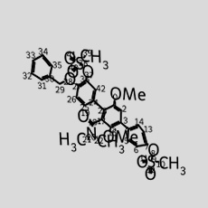 COc1cc(-c2ccc(OS(C)(=O)=O)cc2)c(OC)c(C(=O)N(C)C)c1-c1ccc(OCc2ccccc2)c(OS(C)(=O)=O)c1